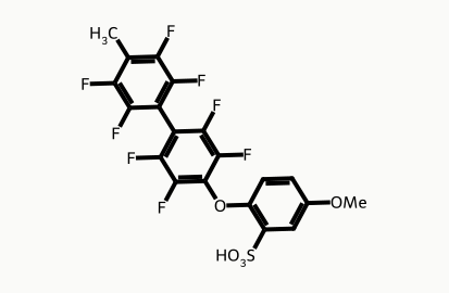 COc1ccc(Oc2c(F)c(F)c(-c3c(F)c(F)c(C)c(F)c3F)c(F)c2F)c(S(=O)(=O)O)c1